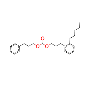 CCCCCc1ccccc1CCCOC(=O)OCCCc1ccccc1